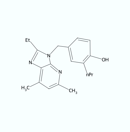 CCCc1cc(Cn2c(CC)nc3c(C)cc(C)nc32)ccc1O